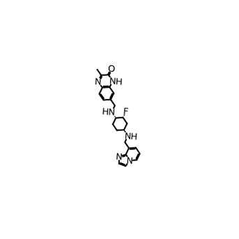 Cc1nc2ccc(CN[C@H]3CC[C@H](NCc4cccn5ccnc45)C[C@H]3F)cc2[nH]c1=O